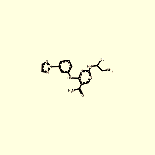 CCC(CN)Nc1ncc(C(N)=O)c(Nc2cccc(-n3nccn3)c2)n1